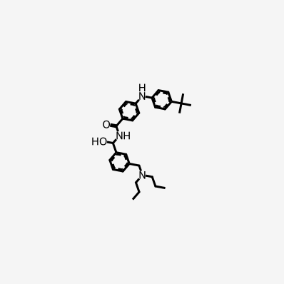 CCCN(CCC)Cc1cccc(C(O)NC(=O)c2ccc(Nc3ccc(C(C)(C)C)cc3)cc2)c1